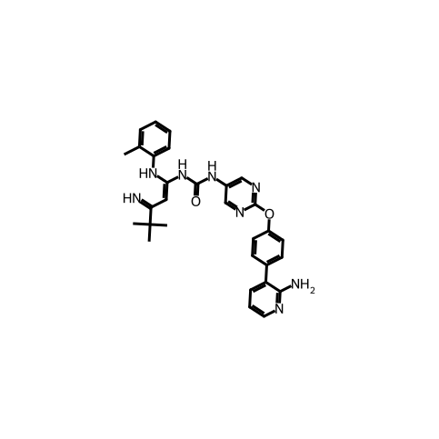 Cc1ccccc1N/C(=C\C(=N)C(C)(C)C)NC(=O)Nc1cnc(Oc2ccc(-c3cccnc3N)cc2)nc1